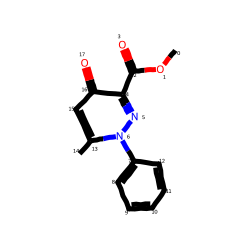 COC(=O)c1nn(-c2ccccc2)c(C)cc1=O